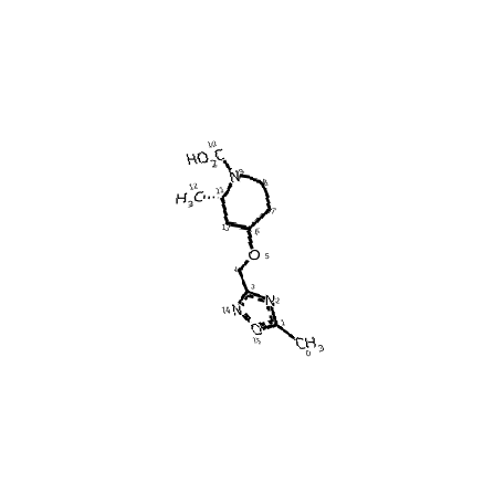 Cc1nc(COC2CCN(C(=O)O)[C@@H](C)C2)no1